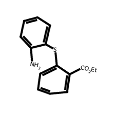 CCOC(=O)c1ccccc1Sc1ccccc1N